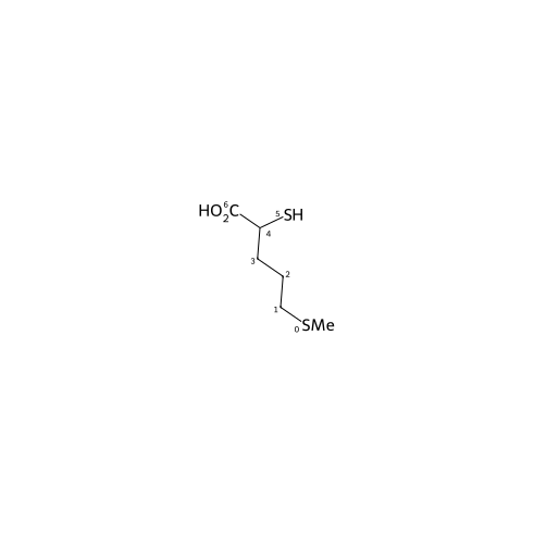 CSCCCC(S)C(=O)O